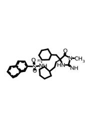 CN1C(=N)N[C@](CCC2CCCCC2)(CC2CCC[C@@H](NS(=O)(=O)c3ccc4ccccc4c3)C2)C1=O